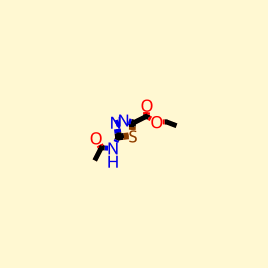 CCOC(=O)c1nnc(NC(C)=O)s1